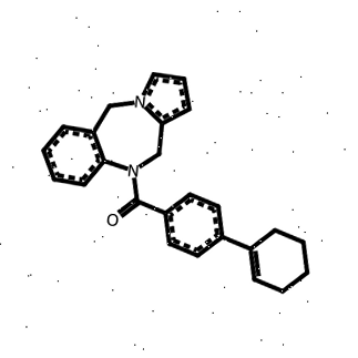 O=C(c1ccc(C2=CCCCC2)cc1)N1Cc2cccn2Cc2ccccc21